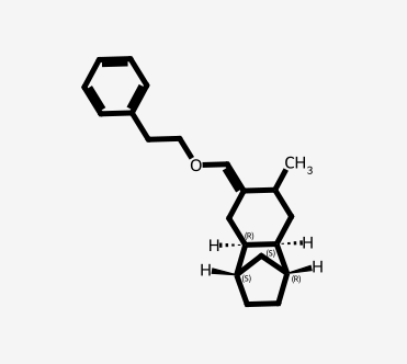 CC1C[C@H]2[C@@H]3CC[C@@H](C3)[C@H]2CC1=COCCc1ccccc1